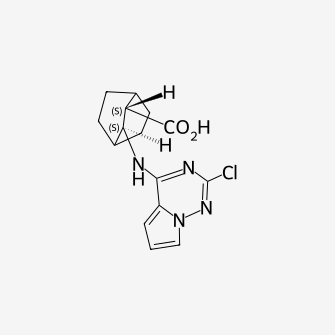 O=C(O)[C@H]1C2CCC(CC2)[C@@H]1Nc1nc(Cl)nn2cccc12